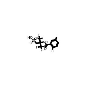 O=C(NC(CS(=O)(=O)O)(C(F)(F)F)C(F)(F)F)c1cc(I)ccc1Cl